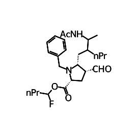 CCCC(F)OC(=O)[C@H]1C[C@@H](C=O)[C@@H](CC(CCC)C(C)NC(C)=O)N1Cc1ccccc1